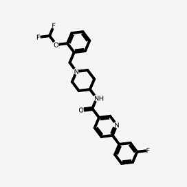 O=C(NC1CCN(Cc2ccccc2OC(F)F)CC1)c1ccc(-c2cccc(F)c2)nc1